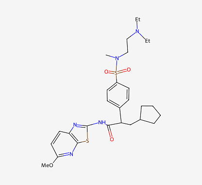 CCN(CC)CCN(C)S(=O)(=O)c1ccc(C(CC2CCCC2)C(=O)Nc2nc3ccc(OC)nc3s2)cc1